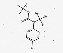 [2H]C([2H])([2H])N(C(=O)OC(C)(C)C)c1ccc(Cl)cc1